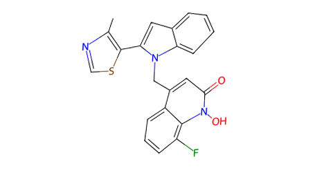 Cc1ncsc1-c1cc2ccccc2n1Cc1cc(=O)n(O)c2c(F)cccc12